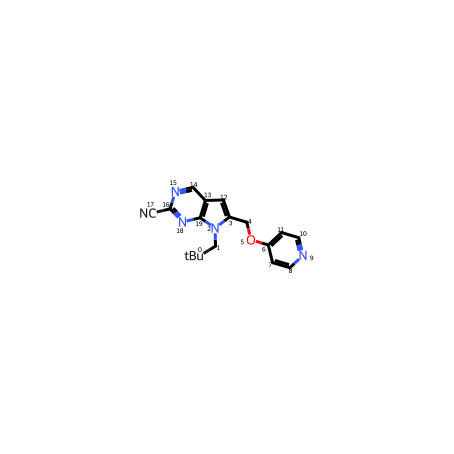 CC(C)(C)Cn1c(COc2ccncc2)cc2cnc(C#N)nc21